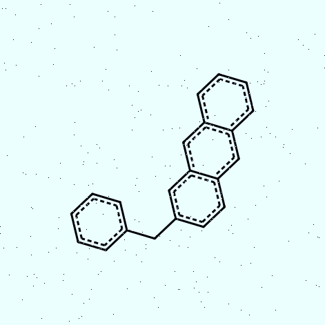 c1ccc(Cc2ccc3cc4ccccc4cc3c2)cc1